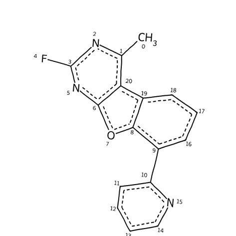 Cc1nc(F)nc2oc3c(-c4ccccn4)cccc3c12